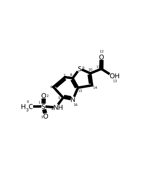 CS(=O)(=O)Nc1ccc2sc(C(=O)O)cc2n1